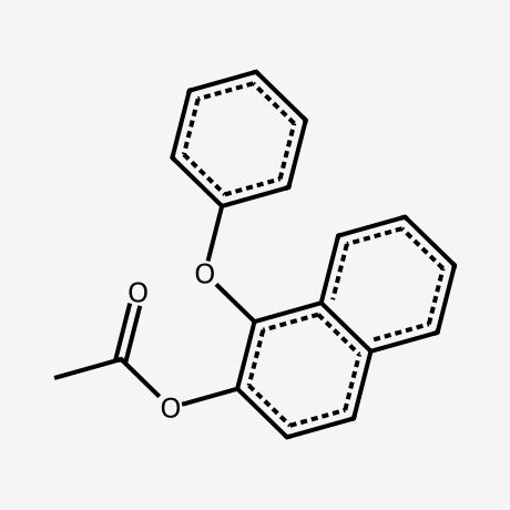 CC(=O)Oc1ccc2ccccc2c1Oc1ccccc1